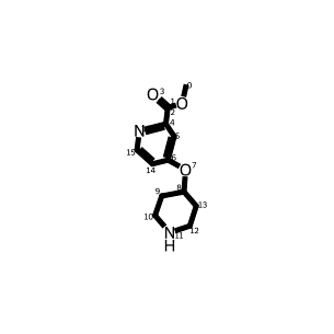 COC(=O)c1cc(OC2CCNCC2)ccn1